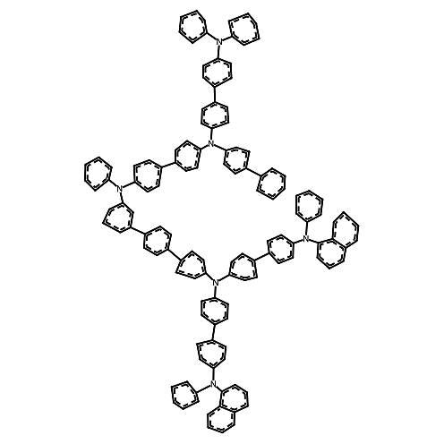 c1ccc(-c2ccc(N(c3ccc(-c4ccc(N(c5ccccc5)c5ccccc5)cc4)cc3)c3ccc(-c4ccc(N(c5ccccc5)c5cccc(-c6ccc(-c7ccc(N(c8ccc(-c9ccc(N(c%10ccccc%10)c%10cccc%11ccccc%10%11)cc9)cc8)c8ccc(-c9ccc(N(c%10ccccc%10)c%10cccc%11ccccc%10%11)cc9)cc8)cc7)cc6)c5)cc4)cc3)cc2)cc1